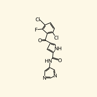 O=C(Nc1cncnc1)c1cc(C(=O)c2c(Cl)ccc(Cl)c2F)c[nH]1